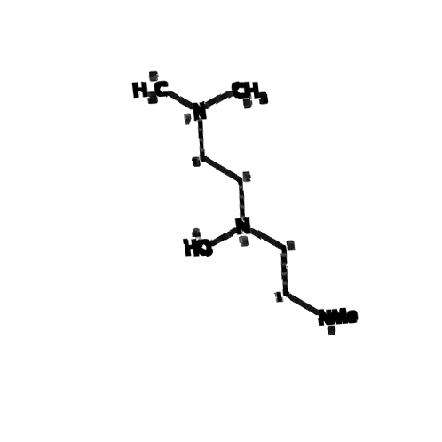 CNCCN(O)CCN(C)C